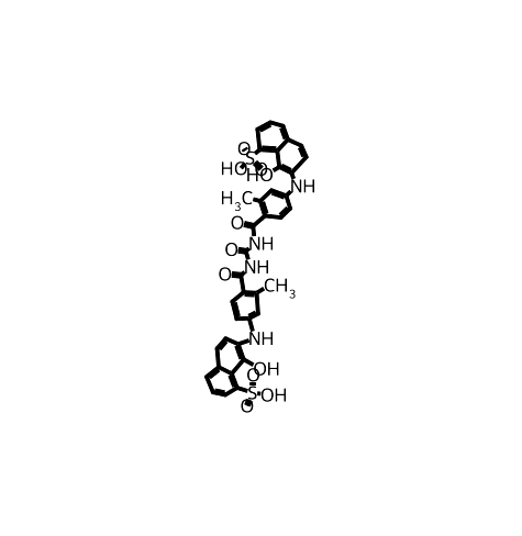 Cc1cc(Nc2ccc3cccc(S(=O)(=O)O)c3c2O)ccc1C(=O)NC(=O)NC(=O)c1ccc(Nc2ccc3cccc(S(=O)(=O)O)c3c2O)cc1C